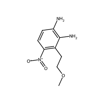 COCCc1c([N+](=O)[O-])ccc(N)c1N